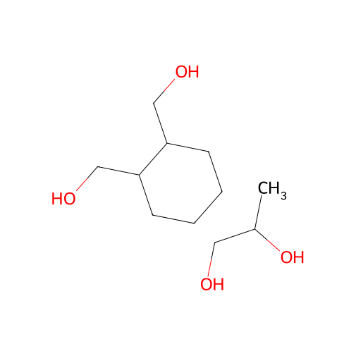 CC(O)CO.OCC1CCCCC1CO